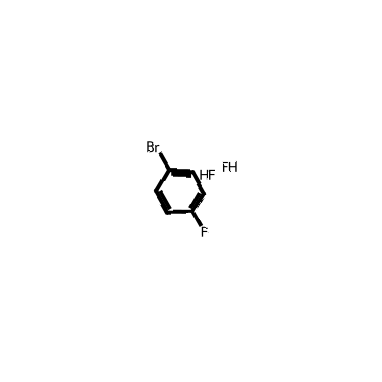 F.F.Fc1ccc(Br)cc1